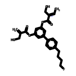 C=C(CO)C(=O)Oc1cc(OC(=O)/C(=C/C)CO)cc(-c2ccc(CCCCF)cc2)c1